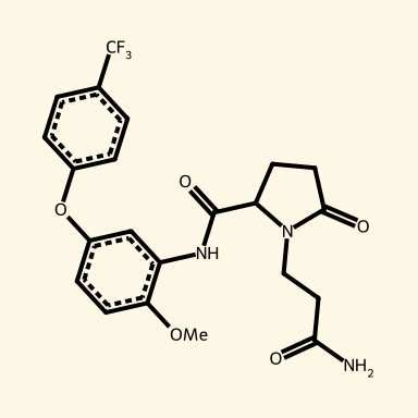 COc1ccc(Oc2ccc(C(F)(F)F)cc2)cc1NC(=O)C1CCC(=O)N1CCC(N)=O